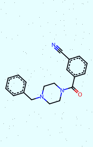 N#Cc1cccc(C(=O)N2CCN(Cc3ccccc3)CC2)c1